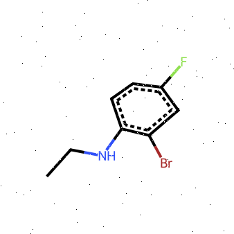 CCNc1ccc(F)cc1Br